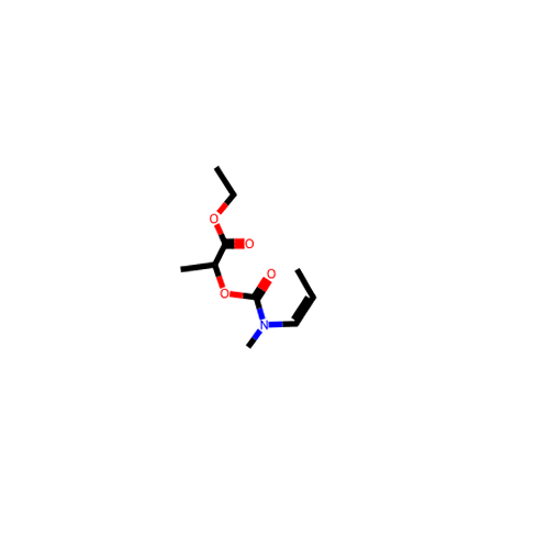 C/C=C\N(C)C(=O)OC(C)C(=O)OCC